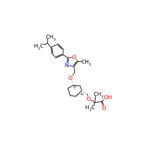 Cc1oc(-c2ccc(C(C)C)cc2)nc1CO[C@H]1CCC[C@@H](COC(C)(C)C(=O)O)C1